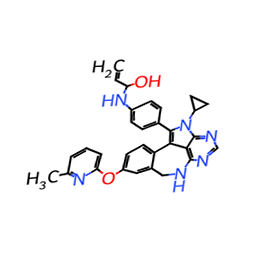 C=CC(O)Nc1ccc(-c2c3c4c(ncnc4n2C2CC2)NCc2cc(Oc4cccc(C)n4)ccc2-3)cc1